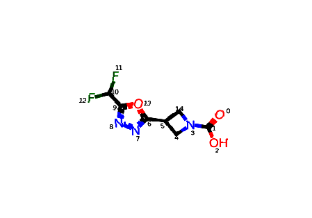 O=C(O)N1CC(c2nnc(C(F)F)o2)C1